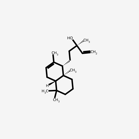 C=C[C@](C)(O)CC[C@H]1C(C)=CC[C@H]2C(C)(C)CCC[C@]12C